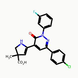 CC1(C(=O)O)C=C(c2cc(-c3ccc(Cl)cc3)nn(-c3cccc(F)c3)c2=O)NC1